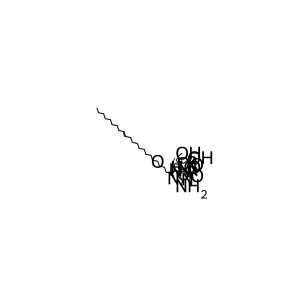 CCCCCCCCC=CCCCCCCCCOCCCc1nc2c(N)nc(P(=O)=O)nc2n1C[C@@H](CO)OCP(=O)(O)O